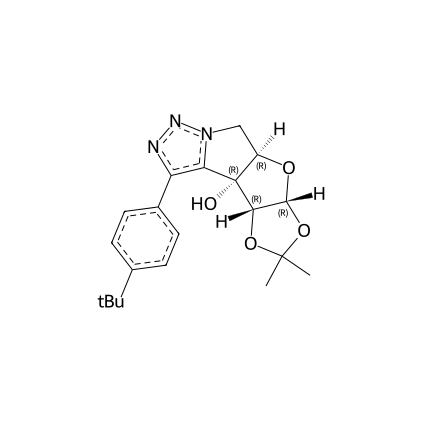 CC1(C)O[C@H]2O[C@@H]3Cn4nnc(-c5ccc(C(C)(C)C)cc5)c4[C@]3(O)[C@H]2O1